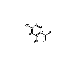 [O-][n+]1ccc(C(F)F)c(Br)c1